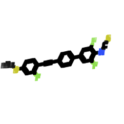 CCCCSc1ccc(C#Cc2ccc(-c3cc(F)c(N=C=S)c(F)c3)cc2)c(F)c1